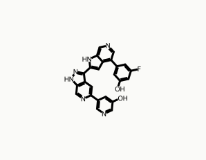 Oc1cncc(-c2cc3c(-c4cc5c(-c6cc(O)cc(F)c6)cncc5[nH]4)n[nH]c3cn2)c1